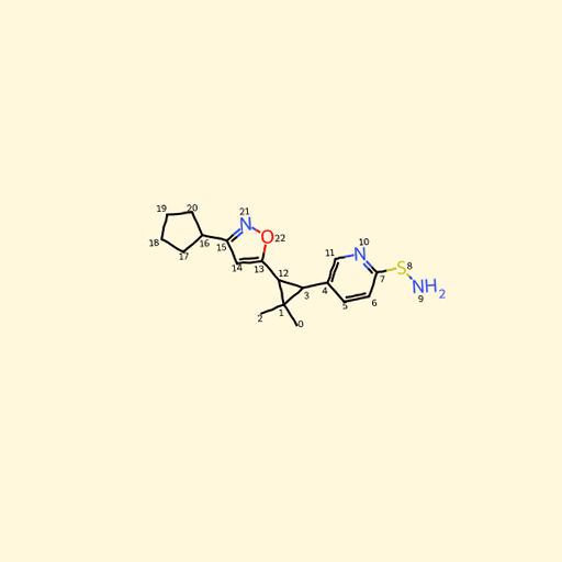 CC1(C)C(c2ccc(SN)nc2)C1c1cc(C2CCCC2)no1